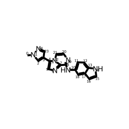 Cn1cc(-c2cnc3c(Nc4ccc5[nH]ccc5c4)nccn23)cn1